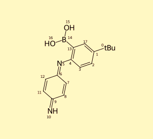 CC(C)(C)c1ccc(N=C2C=CC(=N)C=C2)c(B(O)O)c1